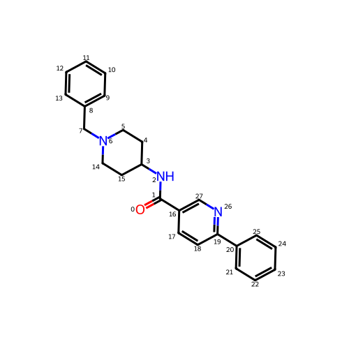 O=C(NC1CCN(Cc2ccccc2)CC1)c1ccc(-c2ccccc2)nc1